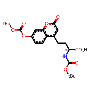 CC(C)(C)OC(=O)N[C@@H](CCc1cc(=O)oc2cc(OC(=O)OC(C)(C)C)ccc12)C(=O)O